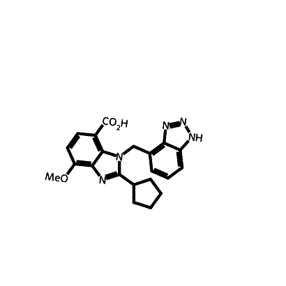 COc1ccc(C(=O)O)c2c1nc(C1CCCC1)n2Cc1cccc2[nH]nnc12